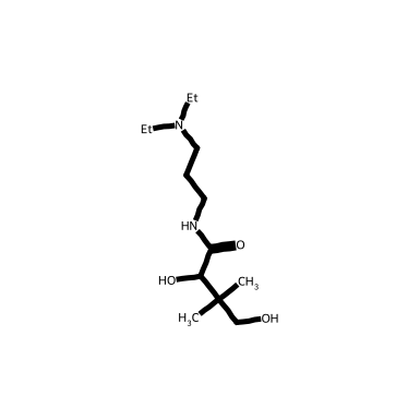 CCN(CC)CCCNC(=O)C(O)C(C)(C)CO